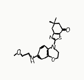 COCCNc1ccc2c(c1)OCCN2c1nc2c(s1)C(=O)CC(C)(C)C2